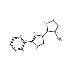 CN1CCSC1C1CSC(c2ccccc2)=N1